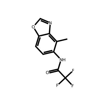 Cc1c(NC(=O)C(F)(F)F)ccc2ocnc12